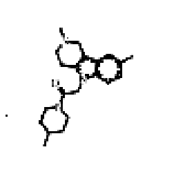 Cc1ccc2c(c1)c1c(n2CC(=O)N2CCC(C)CC2)CCN(C)C1